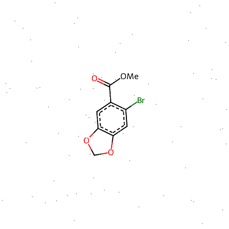 COC(=O)c1cc2c(cc1Br)OCO2